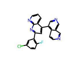 Fc1ccc(Cl)cc1-c1cc(-c2cncc3cnccc23)c2cccnc2n1